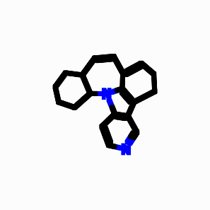 C1=CC2CCCCC2n2c3c(c4cnccc42)CCC=C13